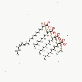 CCCCCCCCCCC(S)(S)C(=O)[O-].CCCCCCCCCCC(S)(S)C(=O)[O-].CCCCCCCCCCC(S)(S)C(=O)[O-].CCCCCCCCCCC(S)(S)C(=O)[O-].CCC[CH2][Sn+2][CH2]CCC.[CH3][Sn+2][CH3]